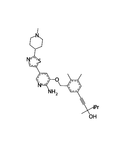 Cc1cc(C#CC(C)(O)C(C)C)cc(COc2cc(-c3cnc(C4CCN(C)CC4)s3)cnc2N)c1C